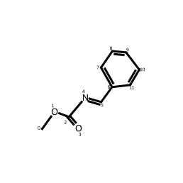 COC(=O)N=Cc1ccccc1